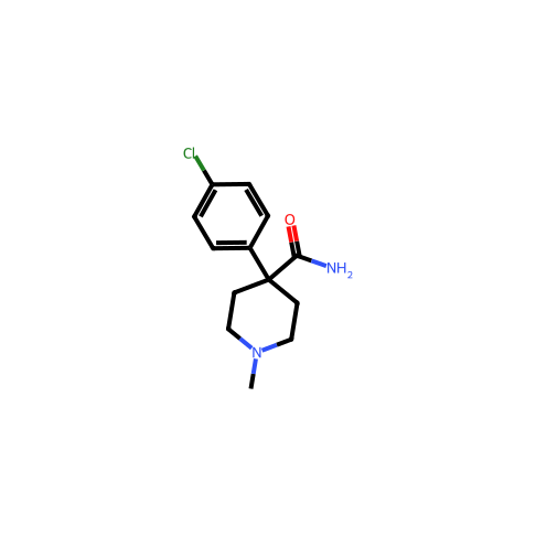 CN1CCC(C(N)=O)(c2ccc(Cl)cc2)CC1